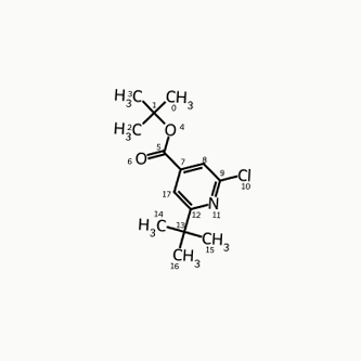 CC(C)(C)OC(=O)c1cc(Cl)nc(C(C)(C)C)c1